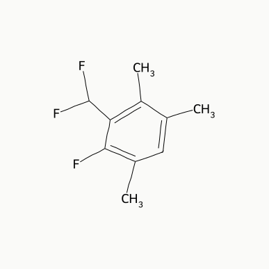 Cc1cc(C)c(F)c(C(F)F)c1C